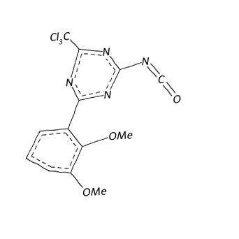 COc1cccc(-c2nc(N=C=O)nc(C(Cl)(Cl)Cl)n2)c1OC